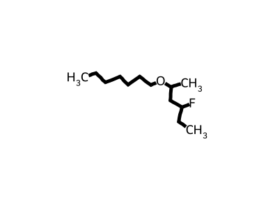 CCCCCCCOC(C)CC(F)CC